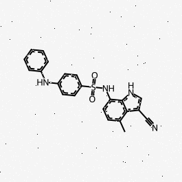 Cc1ccc(NS(=O)(=O)c2ccc(Nc3ccccc3)cc2)c2[nH]cc(C#N)c12